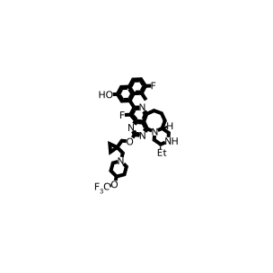 CC[C@@H]1CN2c3nc(OCC4(CN5CCC(OC(F)(F)F)CC5)CC4)nc4c(F)c(-c5cc(O)cc6ccc(F)c(C)c56)nc(c34)CCC[C@@H]2CN1